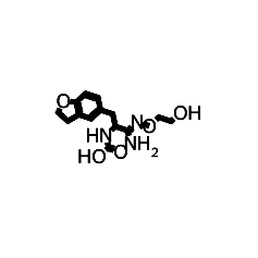 NC(=NOCCO)C(Cc1ccc2c(c1)CCO2)NC(=O)O